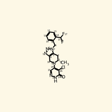 C[C@H]1Cc2c(nnn2Cc2ccccc2C(F)F)CN1c1cn[nH]c(=O)c1Cl